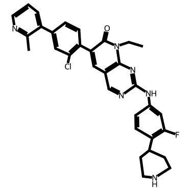 CCn1c(=O)c(-c2ccc(-c3cccnc3C)cc2Cl)cc2cnc(Nc3ccc(C4CCNCC4)c(F)c3)nc21